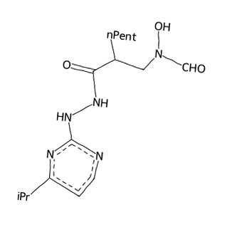 CCCCCC(CN(O)C=O)C(=O)NNc1nccc(C(C)C)n1